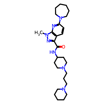 Cn1nc(C(=O)NC2CCN(CCCN3CCCCC3)CC2)c2ccc(N3CCCCCC3)nc21